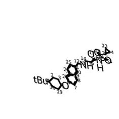 CC(C)(C)[C@H]1CC[C@H](Oc2ccc3cc(CNCCC(=O)NS(=O)(=O)C4CC4)ccc3c2)CC1